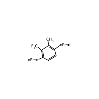 CCCCCc1ccc(CCCCC)c(C(F)(F)F)c1C